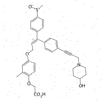 Cc1cc(OC/C=C(\c2ccc(C#CCN3CCC(O)CC3)cc2)c2ccc([S+](C)[O-])cc2)ccc1OCC(=O)O